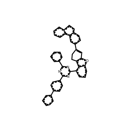 C1=C(c2ccc3ccc4ccccc4c3c2)CCc2c1oc1cccc(-c3nc(-c4ccccc4)nc(-c4ccc(-c5ccccc5)cc4)n3)c21